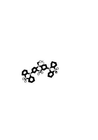 CCN1c2ccc(N3c4ccccc4S(=O)(=O)c4ccccc43)cc2S(=O)(=O)c2cc(N3c4ccccc4S(=O)(=O)c4ccccc43)ccc21